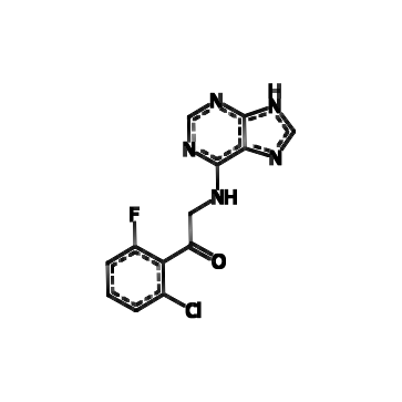 O=C(CNc1ncnc2[nH]cnc12)c1c(F)cccc1Cl